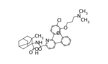 CN(C)CCCOc1cc(-c2nc(C(=O)NC3(C(=O)O)C4CC5CC(C4)CC3(C)C5)ccc2-c2ccccc2Cl)ccc1Cl